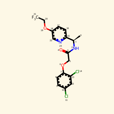 C[C@@H](NC(=O)COc1ccc(Cl)cc1Cl)c1ccc(OCC(F)(F)F)cn1